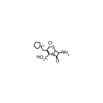 C[N+]1(CC2=C(C(=O)O)N3C(=O)C(N)C3SC2)CCCC1.[Cl-]